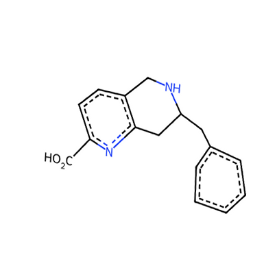 O=C(O)c1ccc2c(n1)CC(Cc1ccccc1)NC2